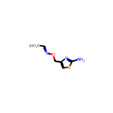 CCOC(=O)C=NOCc1csc(N)n1